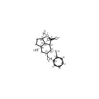 C[C@H]1C[C@H]2CC[C@H]3OC(=O)C([C@@H]1Sc1ccccc1)[C@@]23O